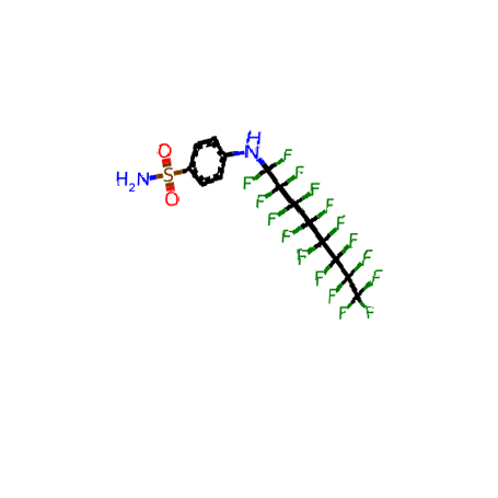 NS(=O)(=O)c1ccc(NC(F)(F)C(F)(F)C(F)(F)C(F)(F)C(F)(F)C(F)(F)C(F)(F)C(F)(F)F)cc1